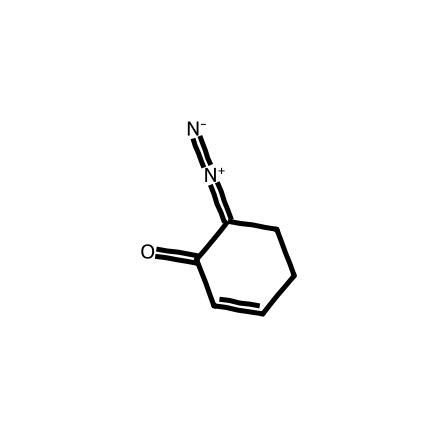 [N-]=[N+]=C1CCC=CC1=O